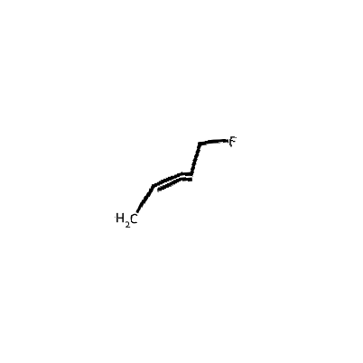 [CH2]C=CCF